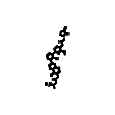 COc1nc(-c2cccc(-c3ccn4c(=O)c(CNCC(C)N)cnc4c3)c2Cl)ccc1CNC[C@@H]1CCC(=O)N1